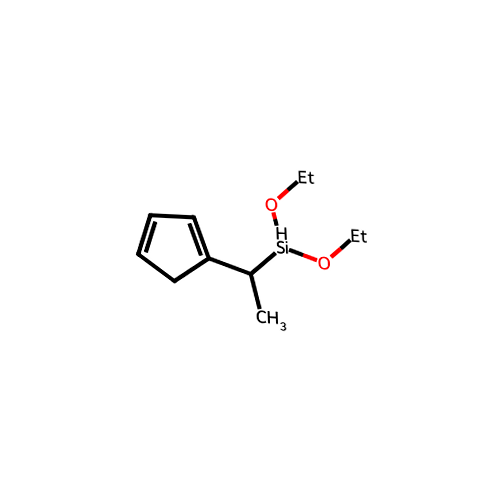 CCO[SiH](OCC)C(C)C1=CC=CC1